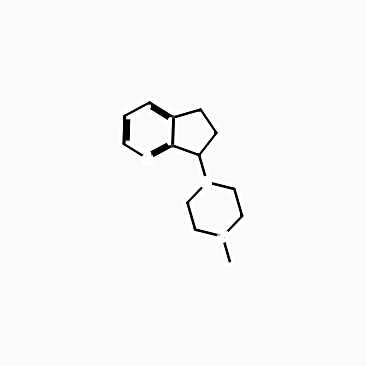 CN1CCN(C2CCc3cccnc32)CC1